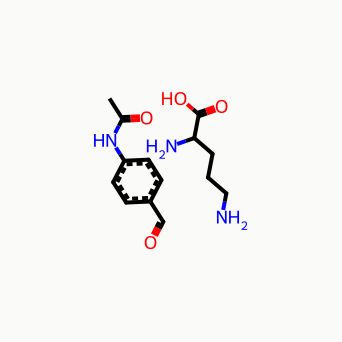 CC(=O)Nc1ccc(C=O)cc1.NCCCC(N)C(=O)O